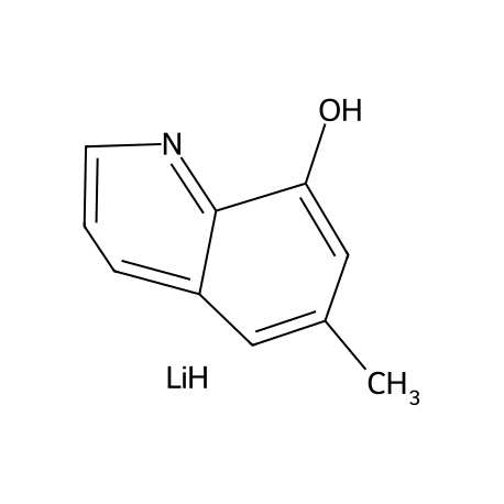 Cc1cc(O)c2ncccc2c1.[LiH]